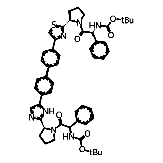 CC(C)(C)OC(=O)N[C@@H](C(=O)N1CCC[C@H]1c1ncc(-c2ccc(-c3ccc(-c4csc([C@@H]5CCCN5C(=O)[C@H](NC(=O)OC(C)(C)C)c5ccccc5)n4)cc3)cc2)[nH]1)c1ccccc1